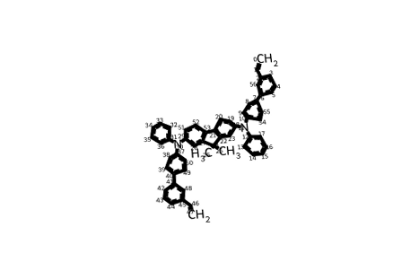 C=Cc1cccc(-c2ccc(N(c3ccccc3)c3ccc4c(c3)C(C)(C)c3cc(N(c5ccccc5)c5ccc(-c6cccc(C=C)c6)cc5)ccc3-4)cc2)c1